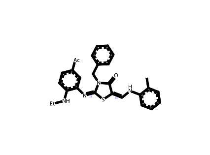 CCNc1ccc(C(C)=O)cc1/N=C1/S/C(=C/Nc2ccccc2C)C(=O)N1Cc1ccccc1